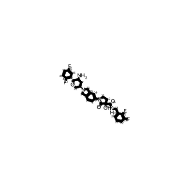 N[C@H]1C[C@@H](N2Cc3ccc(N4CCC(O)(C(=O)NCc5cccc(F)c5F)C4=O)cc3C2)CO[C@@H]1c1cc(F)ccc1F